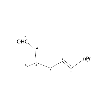 CCCC=CCC(C)CC=O